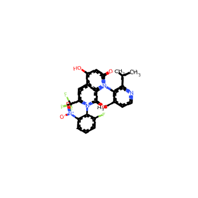 Cc1ccnc(C(C)C)c1-n1c(=O)cc(O)c2cc(C(F)(F)F)n(-c3c(F)cccc3[N+](=O)[O-])c(=O)c21